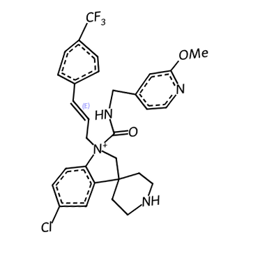 COc1cc(CNC(=O)[N+]2(C/C=C/c3ccc(C(F)(F)F)cc3)CC3(CCNCC3)c3cc(Cl)ccc32)ccn1